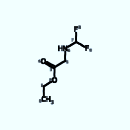 CCOC(=O)CNC(F)F